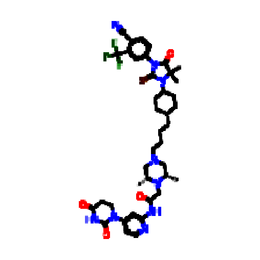 C[C@@H]1CN(CCCC[C@H]2CC[C@H](N3C(=S)N(c4ccc(C#N)c(C(F)(F)F)c4)C(=O)C3(C)C)CC2)C[C@H](C)N1CC(=O)Nc1cc(N2CCC(=O)NC2=O)ccn1